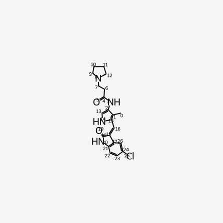 Cc1c(NC(=O)CCN2CCCC2)c[nH]c1C=C1C(=O)Nc2ccc(Cl)cc21